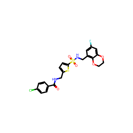 O=C(NCc1ccc(S(=O)(=O)NCc2cc(F)cc3c2OCCO3)s1)c1ccc(Cl)cc1